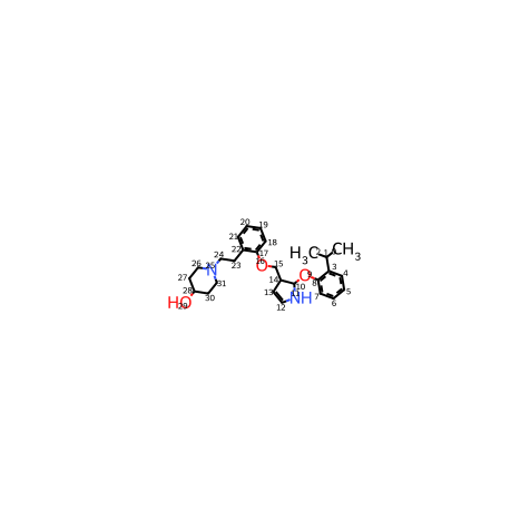 CC(C)c1ccccc1OC1NC=CC1COc1ccccc1CCN1CCC(O)CC1